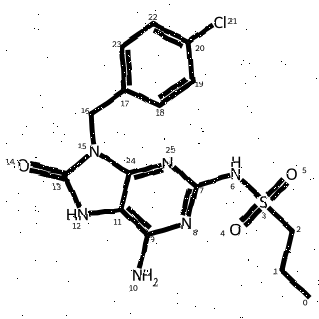 CCCS(=O)(=O)Nc1nc(N)c2[nH]c(=O)n(Cc3ccc(Cl)cc3)c2n1